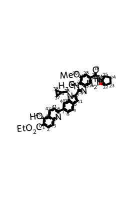 CCOC(=O)c1ccc2nc(-c3ccc4cc(-c5nc6cc(C(=O)N7CC8CCC7[C@@H]8N)cc(OC)c6n5C)n(CC5CC5)c4c3)ccc2c1O